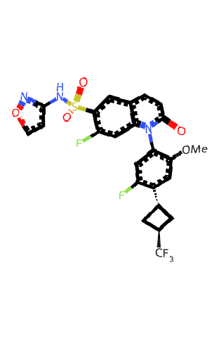 COc1cc([C@H]2C[C@H](C(F)(F)F)C2)c(F)cc1-n1c(=O)ccc2cc(S(=O)(=O)Nc3ccon3)c(F)cc21